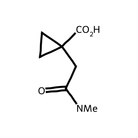 CNC(=O)CC1(C(=O)O)CC1